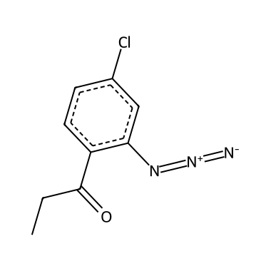 CCC(=O)c1ccc(Cl)cc1N=[N+]=[N-]